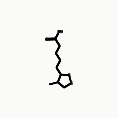 CC1CSSC1CCCCC(=O)O